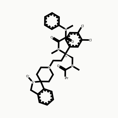 CC(C)C(=O)N(C)C[C@](CCN1CCC2(CC1)c1ccccc1C[S+]2[O-])(c1ccc(Cl)c(Cl)c1)N(C)C(=O)C(=O)N(C)c1ccccc1